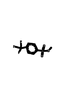 COS(=O)(=O)c1ccc(C(F)(F)F)cc1